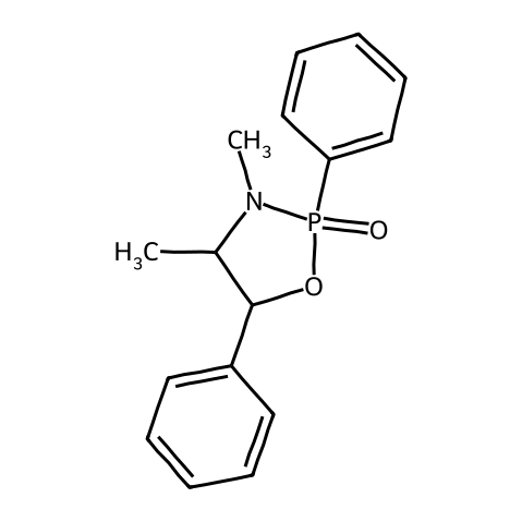 CC1C(c2ccccc2)OP(=O)(c2ccccc2)N1C